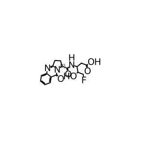 O=C(O)CC(NC(=O)[C@@H]1CCc2nc3ccccc3c(=O)n21)C(O)CF